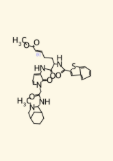 COC(=O)/C=C/CCC(NC(=O)c1cc2ccccc2s1)C(=O)Nc1cccn(CC(=O)NC2C3CCCC(C3)CN2C)c1=O